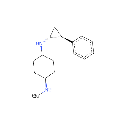 CC(C)(C)N[C@H]1CC[C@@H](N[C@@H]2C[C@H]2c2ccccc2)CC1